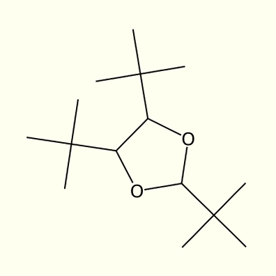 CC(C)(C)C1OC(C(C)(C)C)C(C(C)(C)C)O1